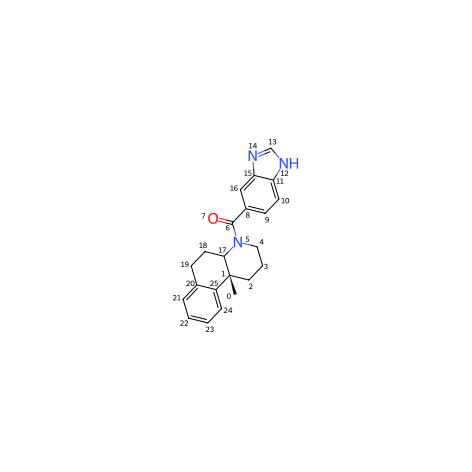 C[C@]12CCCN(C(=O)c3ccc4[nH]cnc4c3)C1CCc1ccccc12